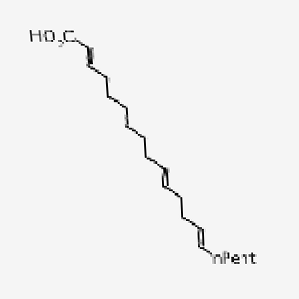 CCCCCC=CCCC=CCCCCCCC=CC(=O)O